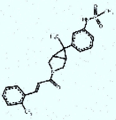 CC1(c2cccc(NS(C)(=O)=O)c2)C2CN(C(=O)C=Cc3ccccc3C(F)(F)F)CC21